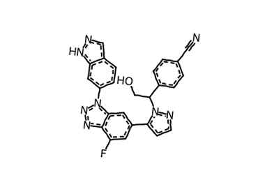 N#Cc1ccc(C(CO)n2nccc2-c2cc(F)c3nnn(-c4ccc5cn[nH]c5c4)c3c2)cc1